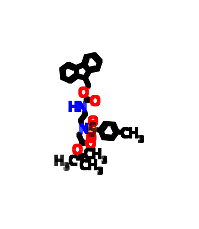 Cc1ccc(S(=O)(=O)N(CCNC(=O)OCC2c3ccccc3-c3ccccc32)CC(=O)OC(C)(C)C)cc1